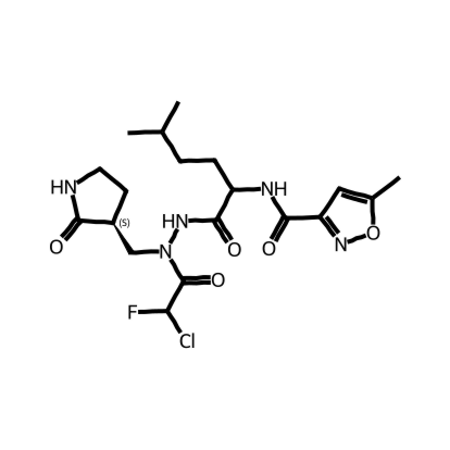 Cc1cc(C(=O)NC(CCC(C)C)C(=O)NN(C[C@@H]2CCNC2=O)C(=O)C(F)Cl)no1